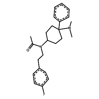 CC(=O)N(CCc1ccc(F)cc1)C1CCC(c2ccccc2)(N(C)C)CC1